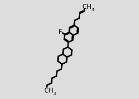 CC=CCCc1ccc2cc(C3CCC4CC(CCCCCCC)CCC4C3)cc(F)c2c1